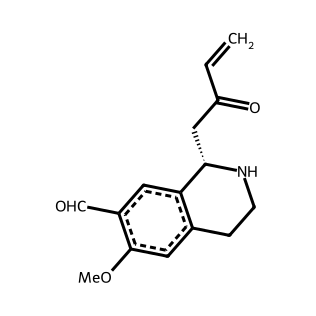 C=CC(=O)C[C@@H]1NCCc2cc(OC)c(C=O)cc21